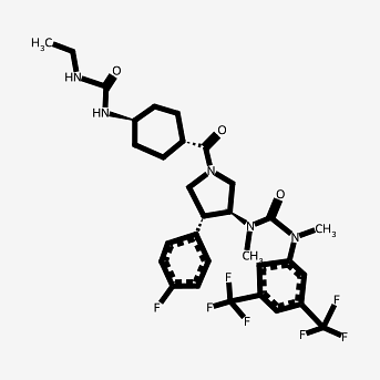 CCNC(=O)N[C@H]1CC[C@H](C(=O)N2C[C@@H](N(C)C(=O)N(C)c3cc(C(F)(F)F)cc(C(F)(F)F)c3)[C@H](c3ccc(F)cc3)C2)CC1